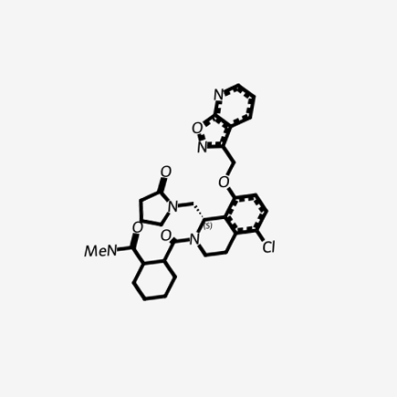 CNC(=O)C1CCCCC1C(=O)N1CCc2c(Cl)ccc(OCc3noc4ncccc34)c2[C@H]1CN1CCCC1=O